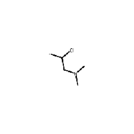 [CH2]C(Cl)CN(C)C